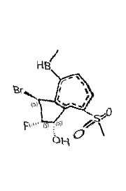 CBc1ccc(S(C)(=O)=O)c2c1[C@H](Br)[C@@H](F)[C@H]2O